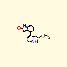 CCCC1NCCC=C1c1cccc2c1=CC(=O)N=2